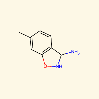 Cc1ccc2c(c1)ONC2N